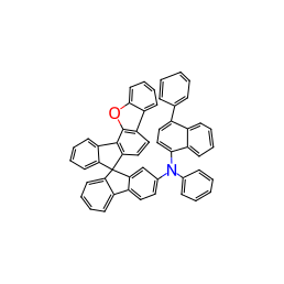 c1ccc(-c2ccc(N(c3ccccc3)c3ccc4c(c3)C3(c5ccccc5-4)c4ccccc4-c4c3ccc3c4oc4ccccc43)c3ccccc23)cc1